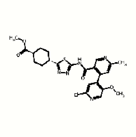 COc1cnc(Cl)cc1-c1cc(C)ncc1C(=O)Nc1nnc([C@H]2CC[C@H](C(=O)OC)CC2)s1